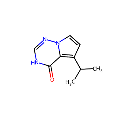 CC(C)c1ccn2nc[nH]c(=O)c12